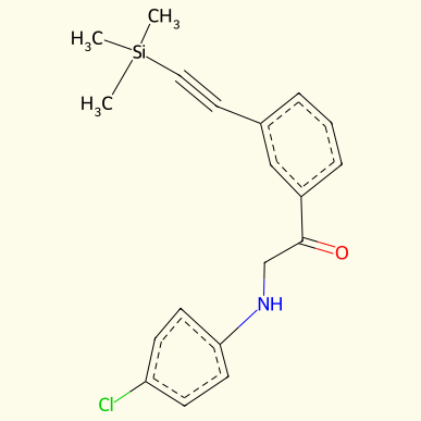 C[Si](C)(C)C#Cc1cccc(C(=O)CNc2ccc(Cl)cc2)c1